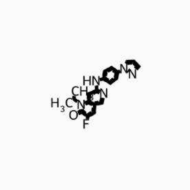 CC(C)n1c(=O)c(F)cc2cnc(Nc3ccc(-n4cccn4)cc3)cc21